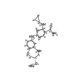 CCCCO[C@H]1CNc2cc(Nc3ncc(C(N)=O)c(NC4CC4)n3)ccc2OC1